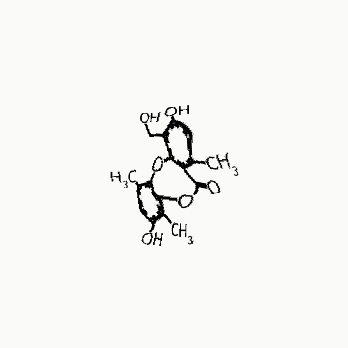 Cc1cc(O)c(C)c2c1Oc1c(CO)c(O)cc(C)c1C(=O)O2